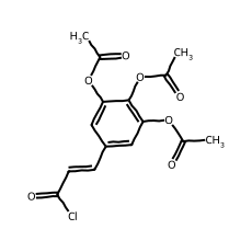 CC(=O)Oc1cc(/C=C/C(=O)Cl)cc(OC(C)=O)c1OC(C)=O